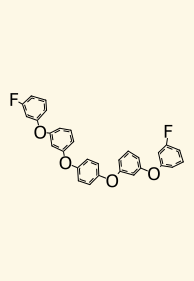 Fc1cccc(Oc2cccc(Oc3ccc(Oc4cccc(Oc5cccc(F)c5)c4)cc3)c2)c1